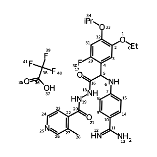 CCOc1cc(C(Nc2ccc(C(=N)N)cc2)C(=O)NNC(=O)c2ccncc2C)c(F)cc1OC(C)C.O=C(O)C(F)(F)F